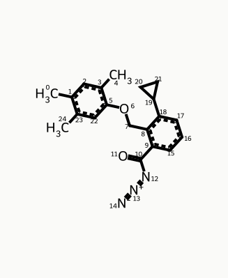 Cc1cc(C)c(OCc2c(C(=O)N=[N+]=[N-])cccc2C2CC2)cc1C